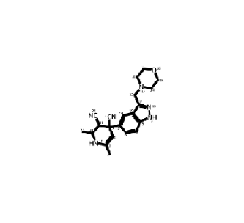 CC1=CC(C#N)(c2ccc3[nH]nc(CN4CCOCC4)c3c2)C(C#N)C(C)N1